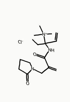 C=CC(CC)(NC(=O)C(=C)CN1CCCC1=O)[N+](C)(C)C.[Cl-]